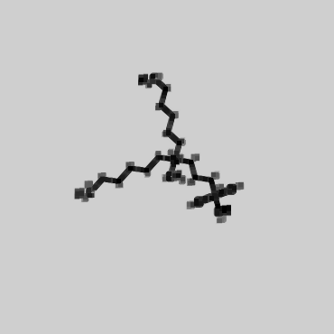 CCCCCC[N+](C)(CCCCCC)CCCS(=O)(=O)O